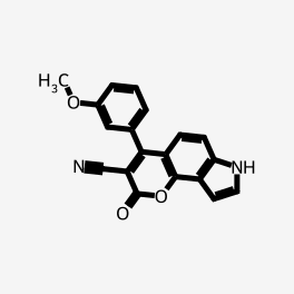 COc1cccc(-c2c(C#N)c(=O)oc3c2ccc2[nH]ccc23)c1